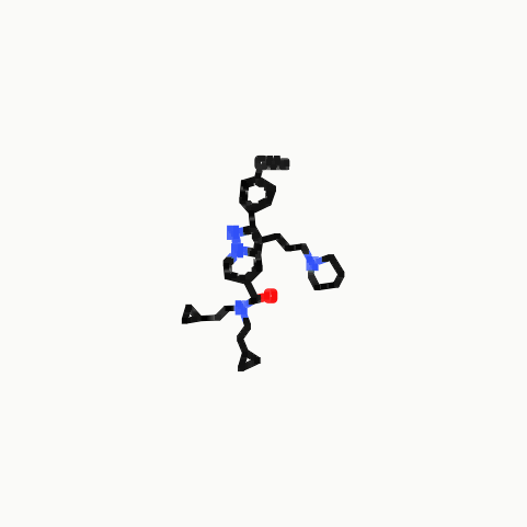 COc1ccc(-c2nn3ccc(C(=O)N(CCC4CC4)CCC4CC4)cc3c2CCCN2CCCCC2)cc1